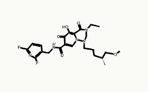 CCN1CN(CCC[C@@H](C)COC)n2cc(C(=O)NCc3ccc(F)nc3F)c(=O)c(O)c2C1=O